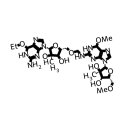 CCOC1NC(N)=Nc2c1ncn2[C@@H]1O[C@H](COCNC2=Nc3c(ncn3[C@@H]3O[C@H](COC)[C@@H](O)[C@@]3(C)O)C(OC)N2)C(O)[C@@]1(C)O